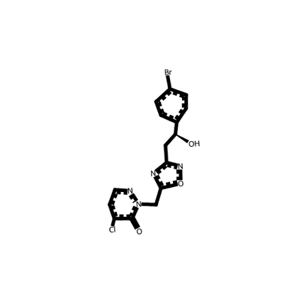 O=c1c(Cl)ccnn1Cc1nc(C[C@H](O)c2ccc(Br)cc2)no1